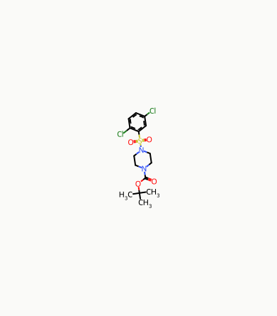 CC(C)(C)OC(=O)N1CCN(S(=O)(=O)c2cc(Cl)ccc2Cl)CC1